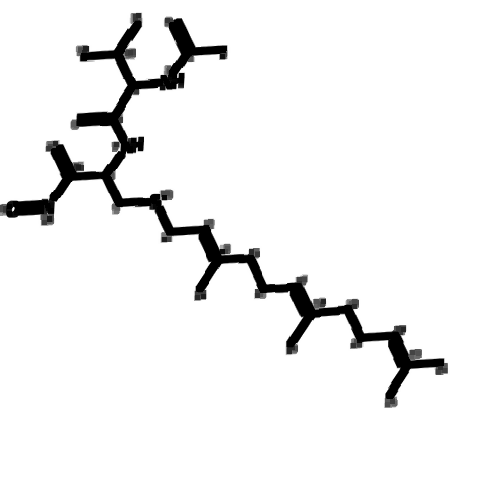 C=C(C)NC(C(=C)NC(CSC/C=C(\C)CC/C=C(\C)CCC=C(C)C)C(=C)N=O)C(C)C